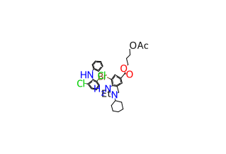 CCN(Cc1cc(C(=O)OCCCCOC(C)=O)cc(Br)c1N)C1CCCCC1.Clc1cccc(Cl)c1Nc1ccccc1